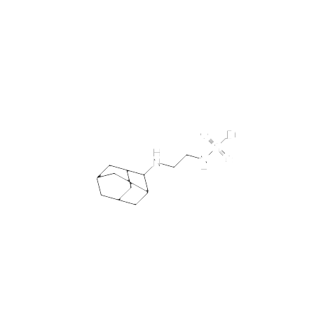 CCS(=O)(=O)NCCNC1C2CC3CC(C2)CC1C3